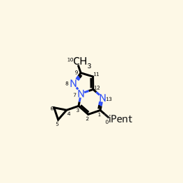 CCCC(C)c1cc(C2CC2)n2nc(C)cc2n1